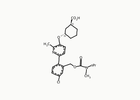 CCCN(C)C(=O)OCc1cc(Cl)ccc1-c1ccc(O[C@H]2CCC[C@H](C(=O)O)C2)c(C)n1